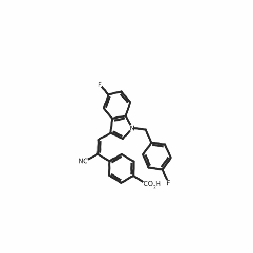 N#CC(=Cc1cn(Cc2ccc(F)cc2)c2ccc(F)cc12)c1ccc(C(=O)O)cc1